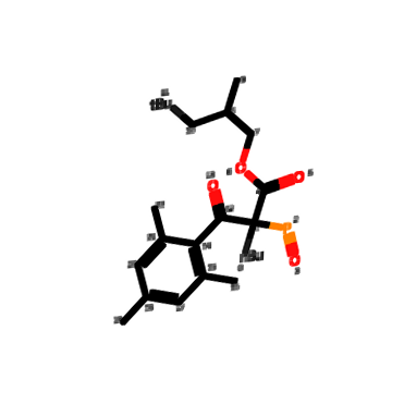 CCCCC(P=O)(C(=O)OCC(C)CC(C)(C)C)C(=O)c1c(C)cc(C)cc1C